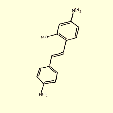 Nc1ccc(C=Cc2ccc(N)cc2O)cc1